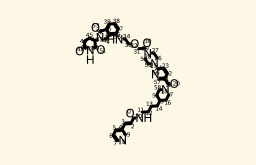 O=C(/C=C/c1cccnc1)NCCCCC1CCN(C(=O)c2ccc(N3CCN(C(=O)COCCNc4cccc5c4CN(C4CCC(=O)NC4=O)C5=O)CC3)nc2)CC1